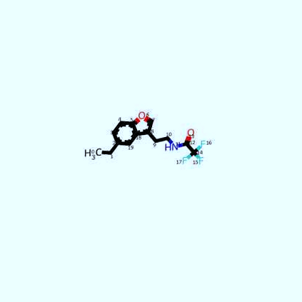 CCc1ccc2occ(CCNC(=O)C(F)(F)F)c2c1